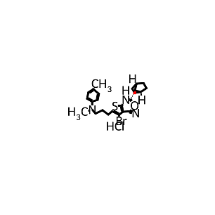 Cc1ccc(N(C)CCCc2sc(NC(=O)[C@@H]3C[C@@H]4CC[C@H]3C4)c(C#N)c2Br)cc1.Cl